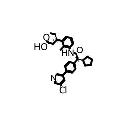 CC[C@H](CC(=O)O)c1cccc(NC(=O)[C@H](c2ccc(-c3cncc(Cl)c3)cc2)C2CCCC2)c1C